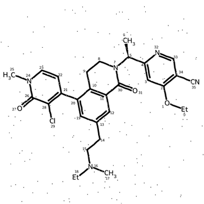 CCOc1cc([C@H](C)N2CCc3c(cc(CCN(C)CC)cc3-c3ccn(C)c(=O)c3Cl)C2=O)ncc1C#N